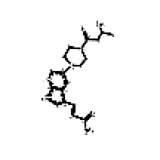 CC(O)CC(=O)N1CCN(c2cnc3[nH]cc(/C=C/C(N)=O)c3c2)CC1